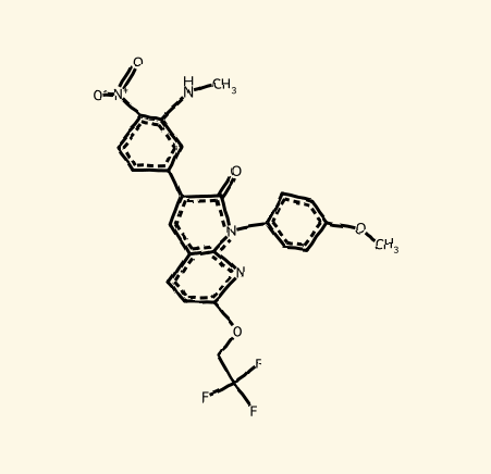 CNc1cc(-c2cc3ccc(OCC(F)(F)F)nc3n(-c3ccc(OC)cc3)c2=O)ccc1[N+](=O)[O-]